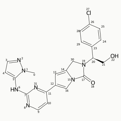 Cn1nccc1Nc1nccc(-c2cc3n(c2)C(=O)N([C@H](CO)c2ccc(Cl)cc2)C3)n1